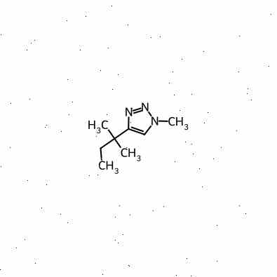 CCC(C)(C)c1cn(C)nn1